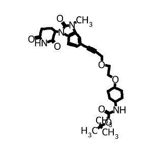 Cn1c(=O)n(C2CCC(=O)NC2=O)c2ccc(C#CCOCCOC3CCC(NC(=O)OC(C)(C)C)CC3)cc21